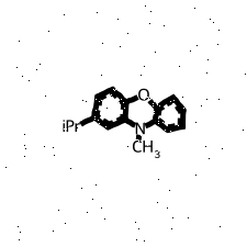 CC(C)c1ccc2c(c1)N(C)c1ccccc1O2